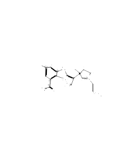 CC1(c2cnn3c2[nH]c2cc(F)cc(C(N)=O)c23)CCN(CCC#N)C1